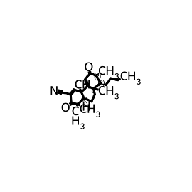 CCCC[C@@H]1[C@@H](C)C(=O)C=C2C3(C)C=C(C#N)C(=O)C(C)(C)[C@@H]3CCC21C